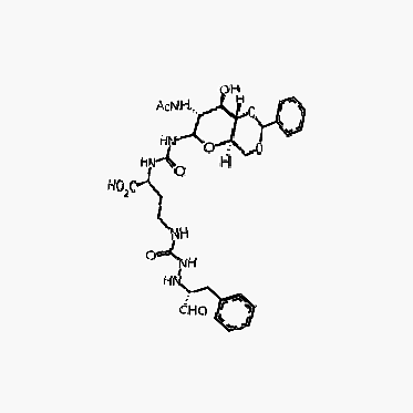 CC(=O)N[C@H]1C(NC(=O)N[C@@H](CCNC(=O)NN[C@@H](C=O)Cc2ccccc2)C(=O)O)O[C@@H]2COC(c3ccccc3)O[C@H]2[C@@H]1O